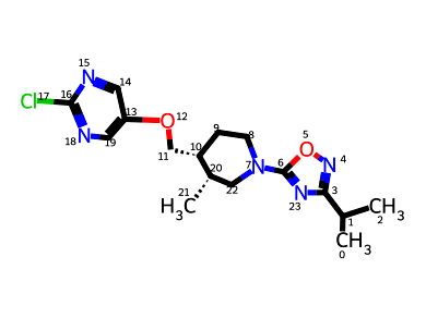 CC(C)c1noc(N2CC[C@@H](COc3cnc(Cl)nc3)[C@@H](C)C2)n1